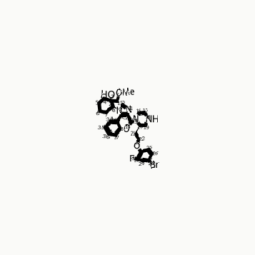 COC[C@]1(O)CCCC[C@H]1n1cnc(C(=O)N2CCNC[C@H]2CCOc2ccc(Br)cc2F)c1-c1ccccc1